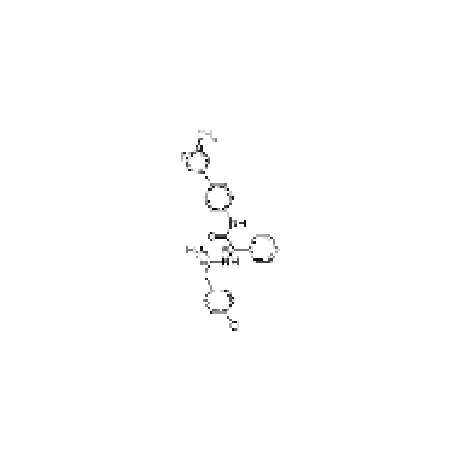 C[C@@H](Cc1ccc(Cl)cc1)N[C@@H](C(=O)Nc1ccc(-c2cnn(C)c2)cc1)c1ccccc1